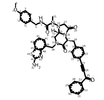 COc1ccc(CNC(=O)N(C)N2CC(=O)N3[C@@H](Cc4ccc(C#CC(=O)c5ccccc5)cc4)C(=O)N(Cc4cccc5sc(N)nc45)C[C@@H]32)cc1